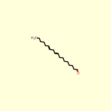 CCCCCC=CCC=CCCCCCCC[C]=O